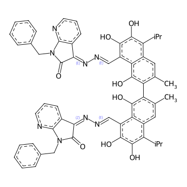 Cc1cc2c(C(C)C)c(O)c(O)c(/C=N/N=C3\C(=O)N(Cc4ccccc4)c4ncccc43)c2c(O)c1-c1c(C)cc2c(C(C)C)c(O)c(O)c(/C=N/N=C3/C(=O)N(Cc4ccccc4)c4ncccc43)c2c1O